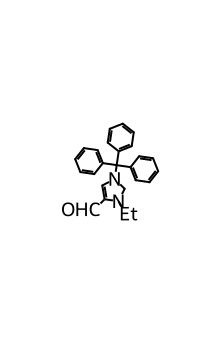 CCN1CN(C(c2ccccc2)(c2ccccc2)c2ccccc2)C=C1C=O